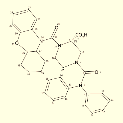 O=C(O)[C@@H]1CN(C(=O)N(c2ccccc2)c2ccccc2)CCN1C(=O)N1c2ccccc2OC2CCCCC21